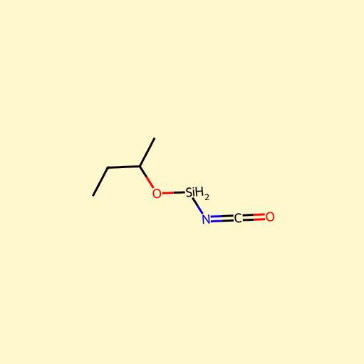 CCC(C)O[SiH2]N=C=O